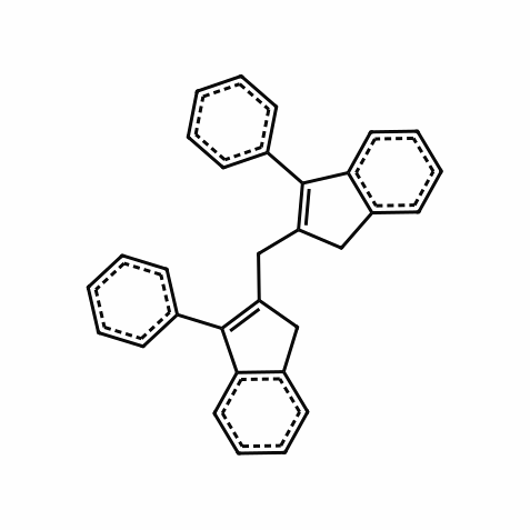 c1ccc(C2=C(CC3=C(c4ccccc4)c4ccccc4C3)Cc3ccccc32)cc1